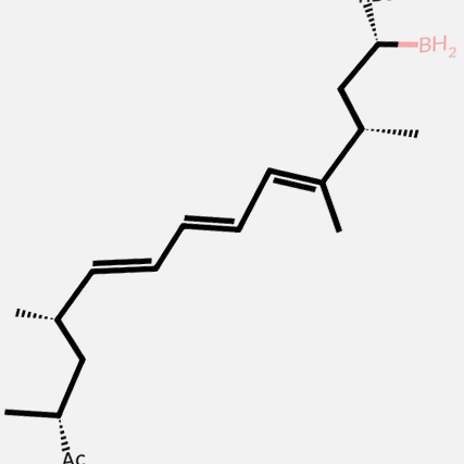 B[C@@H](CCCC)C[C@H](C)/C(C)=C/C=C/C=C/[C@@H](C)C[C@@H](C)C(C)=O